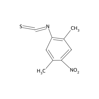 Cc1cc([N+](=O)[O-])c(C)cc1N=C=S